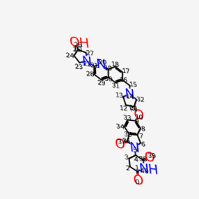 O=C1CCC(N2Cc3cc(O[C@H]4CCN(Cc5ccc6nc(N7CC[C@H](O)C7)ccc6c5)C4)ccc3C2=O)C(=O)N1